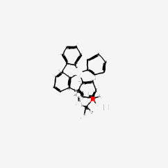 CC1(C)OB(c2cccc3c2S(c2ccccc2)(c2ccccc2)c2ccccc2-3)OC1(C)C